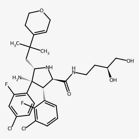 CC(C)(C[C@@H]1N[C@@H](C(=O)NCC[C@H](O)CO)[C@H](c2cccc(Cl)c2F)[C@@]1(N)c1ccc(Cl)cc1F)C1=CCOCC1